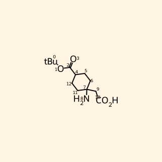 CC(C)(C)OC(=O)C1CCC(N)(CC(=O)O)CC1